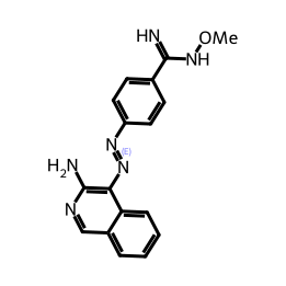 CONC(=N)c1ccc(/N=N/c2c(N)ncc3ccccc23)cc1